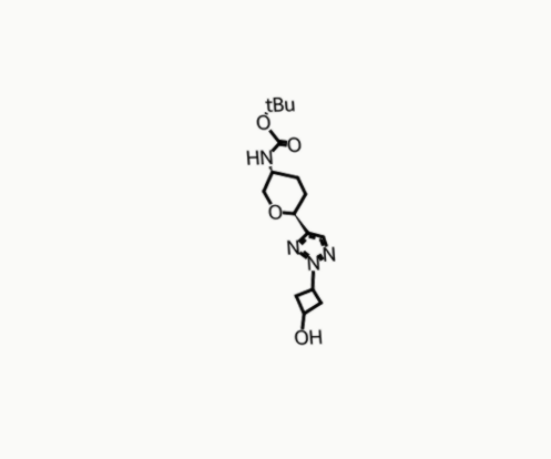 CC(C)(C)OC(=O)N[C@@H]1CC[C@@H](c2cnn(C3CC(O)C3)n2)OC1